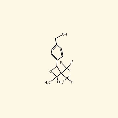 CC1(C)OC(c2ccc(CO)cc2)C1(C(F)(F)F)C(F)(F)F